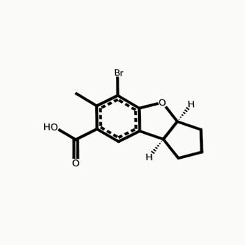 Cc1c(C(=O)O)cc2c(c1Br)O[C@H]1CCC[C@@H]21